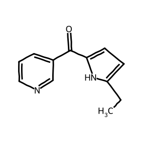 CCc1ccc(C(=O)c2cccnc2)[nH]1